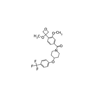 COc1cc(C(=O)N2CCC(Oc3ccc(C(F)(F)F)cc3)CC2)ccc1C1(OC)COC1